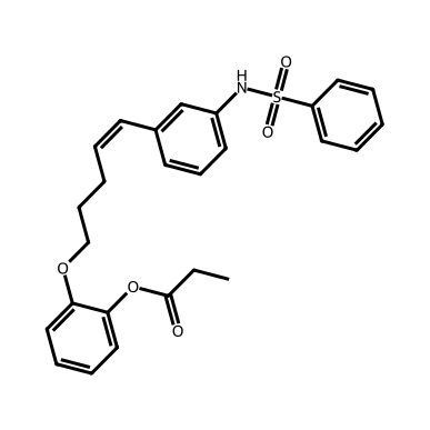 CCC(=O)Oc1ccccc1OCCC/C=C\c1cccc(NS(=O)(=O)c2ccccc2)c1